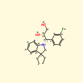 CCC1(CC)CN([C@@H](c2cccc(F)c2)[C@H](O)CO)c2ccccc21